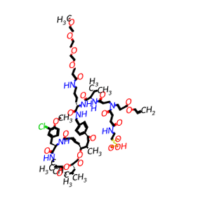 C=CCOC(=O)CCN(CCC(=O)N[C@H](C(=O)N[C@@H](CCCCNC(=O)CCOCCOCCOCCOC)C(=O)NCc1ccc([C@H]2O[C@@H]2[C@@H](C)[C@@H]2C/C=C/C(=O)N[C@H](Cc3ccc(OC)c(Cl)c3)C(=O)NCC(C)(C)C(=O)O[C@@H](CC(C)C)C(=O)O2)cc1)C(C)C)C(=O)CCC(=O)NCCS(=O)(=O)O